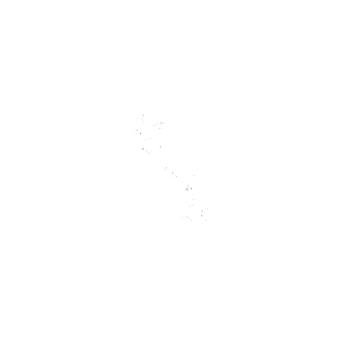 O=C1Nc2ccc(CCN3CCN(Cc4ccccc4)CC3)cc2C1=O